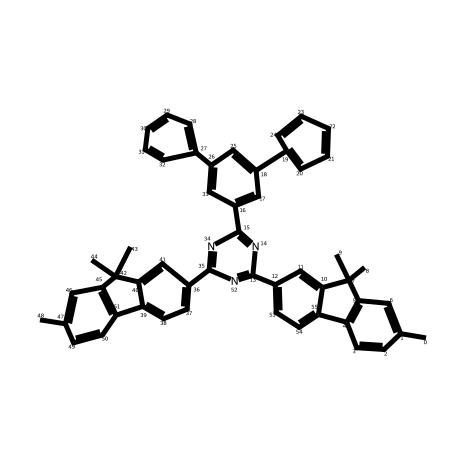 Cc1ccc2c(c1)C(C)(C)c1cc(-c3nc(-c4cc(-c5ccccc5)cc(-c5ccccc5)c4)nc(-c4ccc5c(c4)C(C)(C)c4cc(C)ccc4-5)n3)ccc1-2